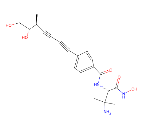 C[C@@H](C#CC#Cc1ccc(C(=O)N[C@H](C(=O)NO)C(C)(C)N)cc1)[C@H](O)CO